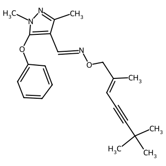 CC(=CC#CC(C)(C)C)CON=Cc1c(C)nn(C)c1Oc1ccccc1